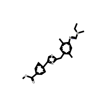 CCN(C)/C=N/c1cc(C)c(Cc2nc(-c3ccc(C(=O)OC)cc3)cs2)cc1C